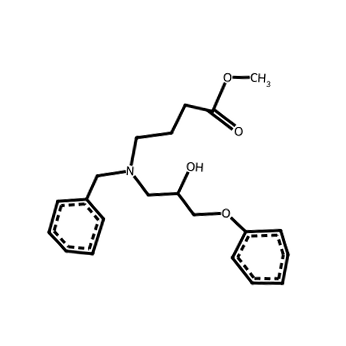 COC(=O)CCCN(Cc1ccccc1)CC(O)COc1ccccc1